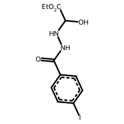 CCOC(=O)C(O)NNC(=O)c1ccc(I)cc1